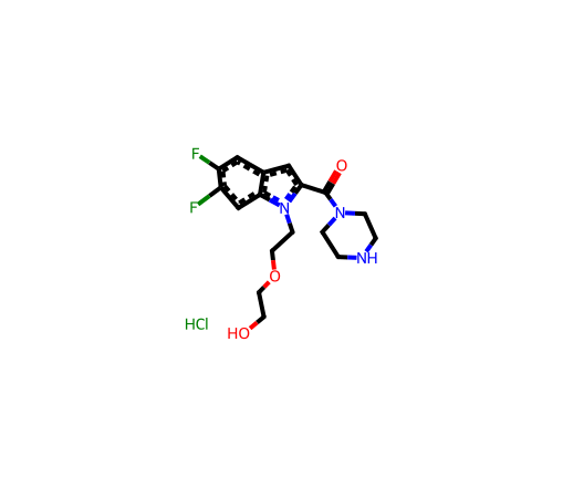 Cl.O=C(c1cc2cc(F)c(F)cc2n1CCOCCO)N1CCNCC1